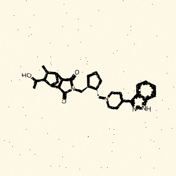 CC(O)C1C(C)C2CC1C1C(=O)N(C[C@H]3CCC[C@@H]3CN3CCC(c4n[nH]c5ccccc45)CC3)C(=O)C21